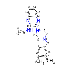 Cc1ccc(CN2CCN(c3nc4ccccc4nc3NC3CC3)CC2)cc1C